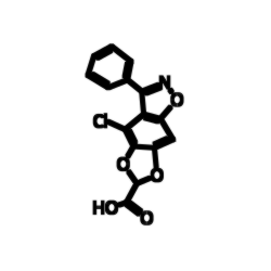 O=C(O)C1Oc2cc3onc(-c4ccccc4)c3c(Cl)c2O1